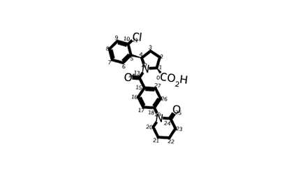 O=C(O)[C@@H]1CC[C@H](c2ccccc2Cl)N1C(=O)c1ccc(N2CCCCC2=O)cc1